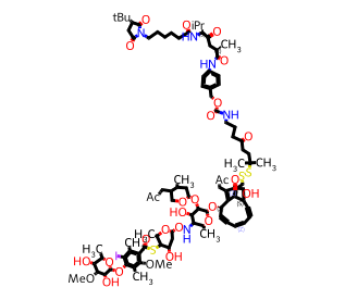 COc1c(C)c(OC2OC(C)C(O)C(OC)C2O)c(I)c(C)c1C(=O)SC1C(O)CC(ONC2C(C)OC(O[C@H]3C#C/C=C\C#C[C@]4(O)CC(=O)C(CC(C)=O)=C3/C4=C/CSSC(C)(C)CCC(=O)CCCNC(=O)OCc3ccc(NC(=O)[C@H](C)CC(=O)[C@@H](NC(=O)CCCCCN4C(=O)CC(C(C)(C)C)C4=O)C(C)C)cc3)C(OC3CC(C)C(CC(C)=O)CO3)C2O)OC1C